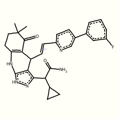 CC1(C)CCC2=C(C1=O)C(/C=C/c1ccc(-c3cccc(F)c3)cn1)c1c(C(C(N)=O)C3CC3)n[nH]c1N2